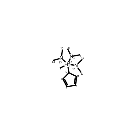 C[N](C)[Hf]([CH3])([CH]1C=CC=C1)([N](C)C)[N](C)C